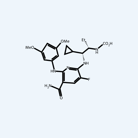 CC[C@H](NC(=O)O)[C@H](Nc1nc(Nc2cc(OC)cc(OC)c2)c(C(N)=O)cc1F)C1CC1